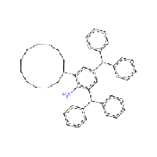 Nc1c(C2CCCCCCCCCCC2)cc(C(c2ccccc2)c2ccccc2)cc1C(c1ccccc1)c1ccccc1